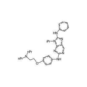 CCCN(CCC)CCOc1ccc(Nc2ncc3nc(Nc4ccccc4)n(C(C)C)c3n2)cc1